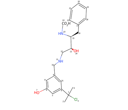 CC(C)(Cl)c1cc(O)cc(CNC[C@H](O)[C@H](Cc2ccccc2)NC(=O)O)c1